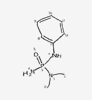 CN(C)P(N)(=O)Nc1ccccc1